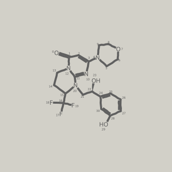 O=c1cc(N2CCOCC2)nc2n1CCC(C(F)(F)F)N2C[C@@H](O)c1cccc(O)c1